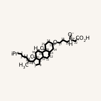 CC(C)CCC[C@@H](C)[C@H]1CCC2C3CC=C4C[C@@H](OCCC[NH+]([O-])CC(=O)O)CC[C@]4(C)C3CC[C@@]21C